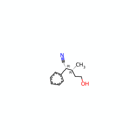 C[C@H](CCO)[C@@H](C#N)c1ccccc1